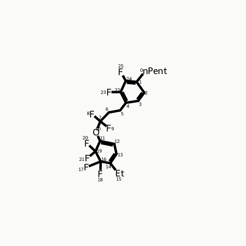 CCCCCc1ccc(CCC(F)(F)OC2=CC=C(CC)C(F)(F)C2(F)F)c(F)c1F